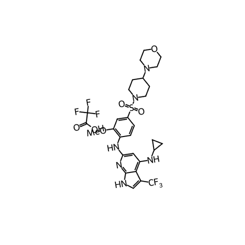 COc1cc(S(=O)(=O)N2CCC(N3CCOCC3)CC2)ccc1Nc1cc(NC2CC2)c2c(C(F)(F)F)c[nH]c2n1.O=C(O)C(F)(F)F